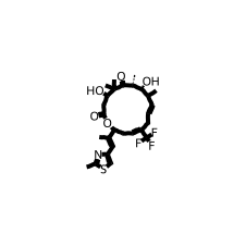 C/C(=C\c1csc(C)n1)C1C/C=C(/C(F)(F)F)C/C=C/C(C)[C@H](O)[C@@H](C)C(=O)C(C)(C)C(O)CC(=O)O1